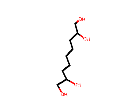 OCC(O)CCCCCC(O)CO